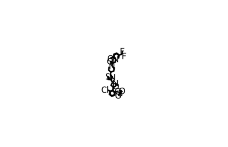 CS(=O)(=O)Oc1cccc(Cl)c1C1CC(c2csc(C3CCN(C(=O)Cn4cc(C(F)F)ccc4=O)CC3)n2)=NO1